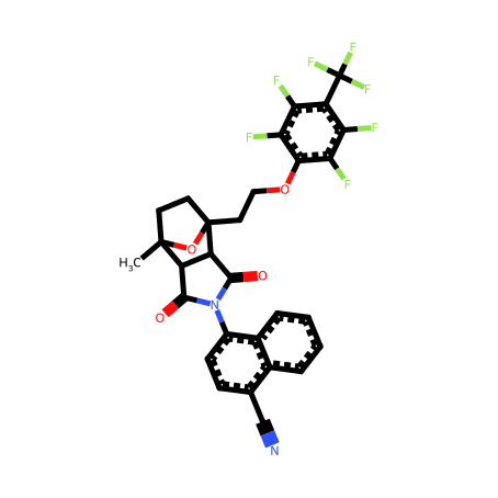 CC12CCC(CCOc3c(F)c(F)c(C(F)(F)F)c(F)c3F)(O1)C1C(=O)N(c3ccc(C#N)c4ccccc34)C(=O)C12